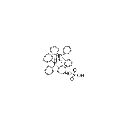 O=S(=O)(O)O.c1ccc([PH]([Pt][PH](c2ccccc2)(c2ccccc2)c2ccccc2)(c2ccccc2)c2ccccc2)cc1